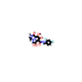 COc1c2n3c(c(C(=O)NCc4ccc(F)cc4F)c1=O)C(O)CN3C(C)(C)N(C)C2=O